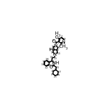 Cc1ccnc(C)c1C(=O)N1CC2CN(CCC(NC(=O)CC3CCCCC3)c3ccccc3)C[C@H]2C1